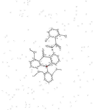 COc1cccc(OC)c1C(=O)c1cccc([PH](=O)C(=O)c2c(Cl)cccc2Cl)c1C(=O)c1c(OC)cccc1OC